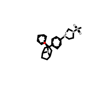 CS(=O)(=O)N1CCN(c2ccc(C3(O)CC4CCC(C3)N4Cc3ccccc3)cc2)CC1